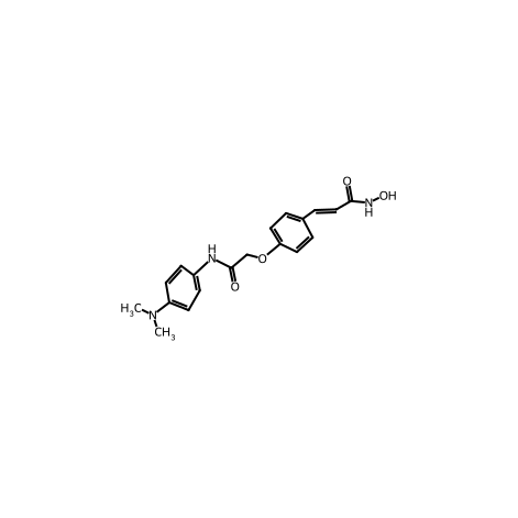 CN(C)c1ccc(NC(=O)COc2ccc(C=CC(=O)NO)cc2)cc1